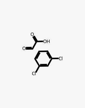 Clc1cccc(Cl)c1.O=CC(=O)O